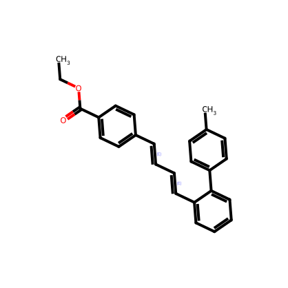 CCOC(=O)c1ccc(/C=C/C=C/c2ccccc2-c2ccc(C)cc2)cc1